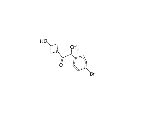 CC(C(=O)N1CC(O)C1)c1ccc(Br)cc1